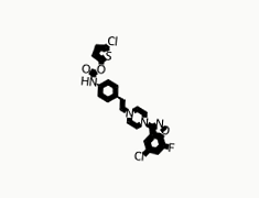 O=C(N[C@H]1CC[C@H](CCN2CCN(c3noc4c(F)cc(Cl)cc34)CC2)CC1)Oc1ccc(Cl)s1